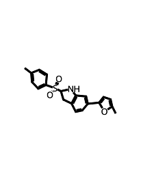 Cc1ccc(S(=O)(=O)C2Cc3ccc(-c4ccc(C)o4)cc3N2)cc1